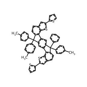 Cc1ccc(C2(c3ccccc3)c3cc4c(cc3-c3c2ccc2cc(-c5cccs5)sc32)C(c2ccc(C)cc2)(c2ccc(C)cc2)c2ccc3cc(-c5cccs5)sc3c2-4)cc1